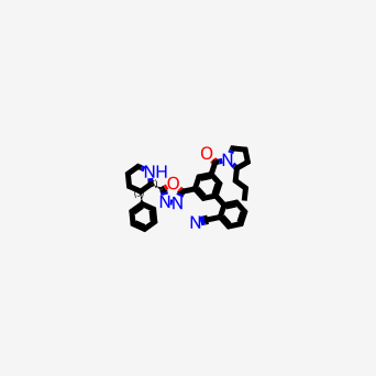 CCCC1CCCN1C(=O)c1cc(-c2nnc([C@H]3NCCC[C@H]3c3ccccc3)o2)cc(-c2ccccc2C#N)c1